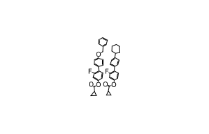 O=C(Oc1ccc(-c2ccc(C3CCCCC3)cc2)c(F)c1)C1CC1.O=C(Oc1ccc(-c2ccc(OCc3ccccc3)cc2)c(F)c1)C1CC1